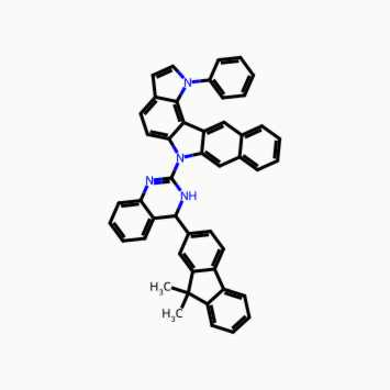 CC1(C)c2ccccc2-c2ccc(C3NC(n4c5cc6ccccc6cc5c5c6c(ccc54)ccn6-c4ccccc4)=Nc4ccccc43)cc21